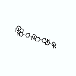 c1cncc(-c2ccc3cc(-c4ccc5nc(-c6ccc(-c7ccnc8c7ccc7cccnc78)cc6)ccc5c4)ccc3n2)c1